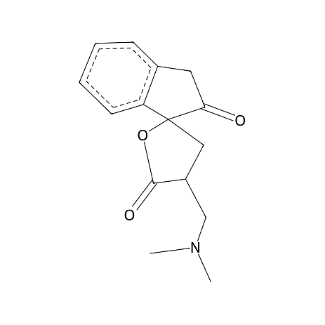 CN(C)CC1CC2(OC1=O)C(=O)Cc1ccccc12